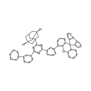 c1ccc(-c2cccc(-c3nc(-c4cccc(-c5cccc6c5Oc5ccccc5C65c6ccccc6-c6ccccc65)c4)nc(C45CC6C[C@H](C4)C[C@@H](C6)C5)n3)c2)cc1